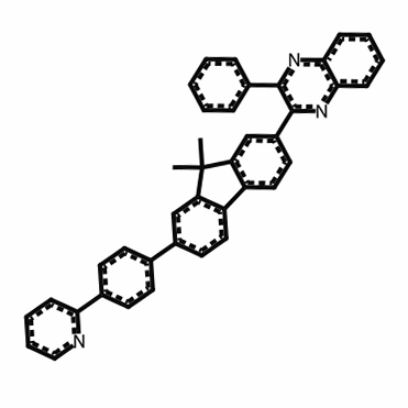 CC1(C)c2cc(-c3ccc(-c4ccccn4)cc3)ccc2-c2ccc(-c3nc4ccccc4nc3-c3ccccc3)cc21